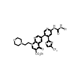 CCNC(=O)Nc1cc(-c2nc(C(F)(F)F)cs2)c(-c2cnc3c(c2)c(=O)c(C(=O)OCC)cn3CCN2CCOCC2)cn1